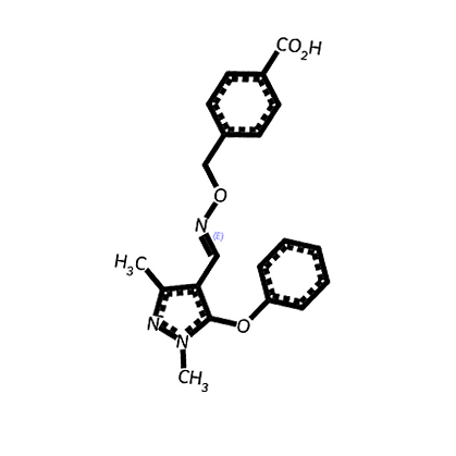 Cc1nn(C)c(Oc2ccccc2)c1/C=N/OCc1ccc(C(=O)O)cc1